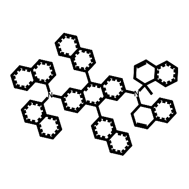 CC1(N(c2ccc3c(-c4ccc5ccccc5c4)c4cc(N(c5cccc6ccccc56)c5cccc6ccccc56)ccc4c(-c4ccc5ccccc5c4)c3c2)C2CC=Cc3ccccc32)CC=Cc2ccccc21